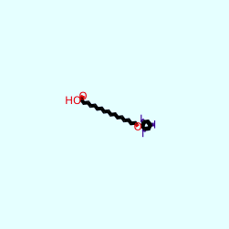 O=C(O)CCCCCCCCCCCCCCCCOc1c(I)cc(I)cc1I